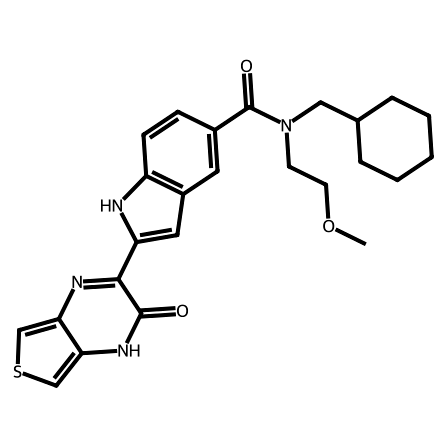 COCCN(CC1CCCCC1)C(=O)c1ccc2[nH]c(-c3nc4cscc4[nH]c3=O)cc2c1